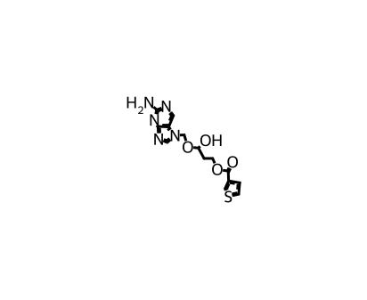 Nc1ncc2c(ncn2COC(O)CCOC(=O)c2ccsc2)n1